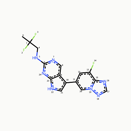 CC(F)(F)CNc1ncc2c(-c3cc(F)c4ncnn4c3)c[nH]c2n1